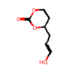 O=C1OCCC(CC=CO)O1